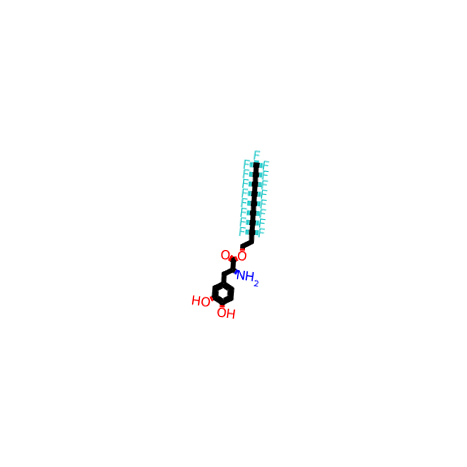 NC(Cc1ccc(O)c(O)c1)C(=O)OCCC(F)(F)C(F)(F)C(F)(F)C(F)(F)C(F)(F)C(F)(F)C(F)(F)C(F)(F)F